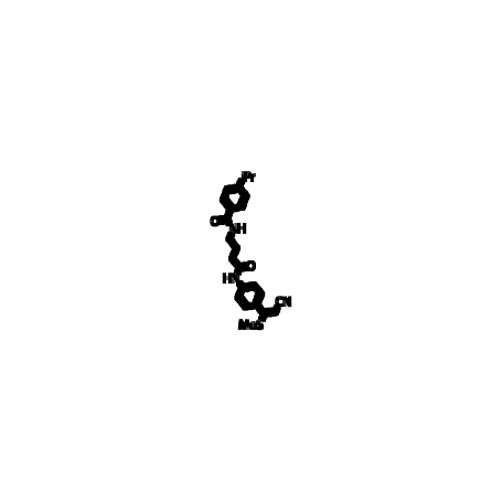 CS/C(=C/C#N)c1ccc(NC(=O)CCCNC(=O)c2ccc(C(C)C)cc2)cc1